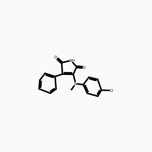 CN(C1=C(c2ccccc2)C(=O)NC1=O)c1ccc(Cl)cc1